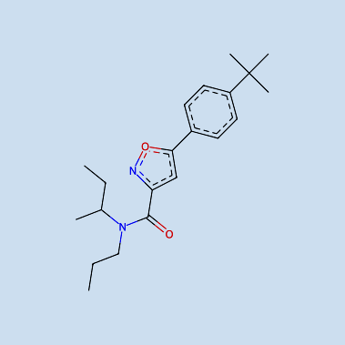 CCCN(C(=O)c1cc(-c2ccc(C(C)(C)C)cc2)on1)C(C)CC